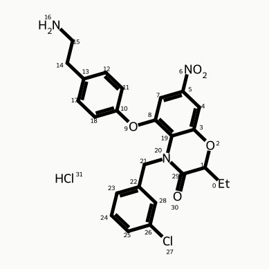 CCC1Oc2cc([N+](=O)[O-])cc(Oc3ccc(CCN)cc3)c2N(Cc2cccc(Cl)c2)C1=O.Cl